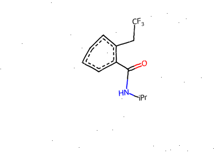 CC(C)NC(=O)c1ccccc1CC(F)(F)F